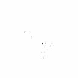 CCCCC/C=C\C/C=C\C/C=C\CCCCC(=O)OC1=C(O)C(=O)O[C@@H]1[C@@H](O)CO